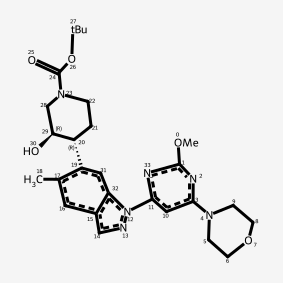 COc1nc(N2CCOCC2)cc(-n2ncc3cc(C)c([C@H]4CCN(C(=O)OC(C)(C)C)C[C@@H]4O)cc32)n1